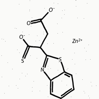 O=C([O-])CC(C([O-])=S)c1nc2ccccc2s1.[Zn+2]